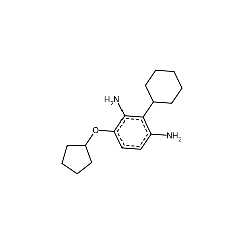 Nc1ccc(OC2CCCC2)c(N)c1C1CCCCC1